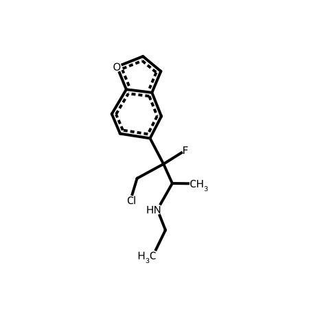 CCNC(C)C(F)(CCl)c1ccc2occc2c1